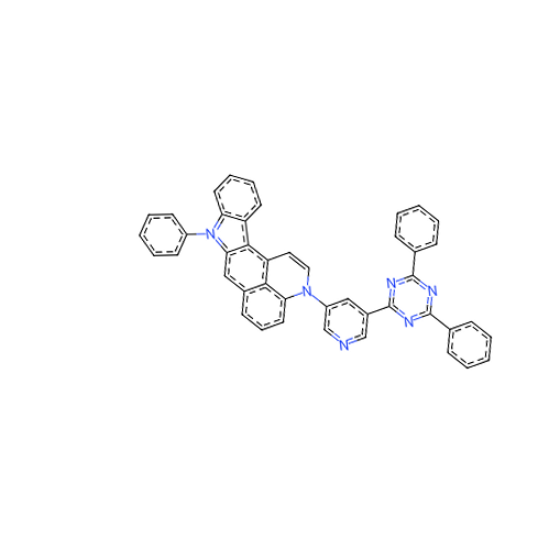 C1=CN(c2cncc(-c3nc(-c4ccccc4)nc(-c4ccccc4)n3)c2)c2cccc3cc4c(c1c23)c1ccccc1n4-c1ccccc1